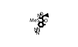 CSc1noc(C2CC2)c1C(=O)c1ccc(-n2cncn2)cc1C